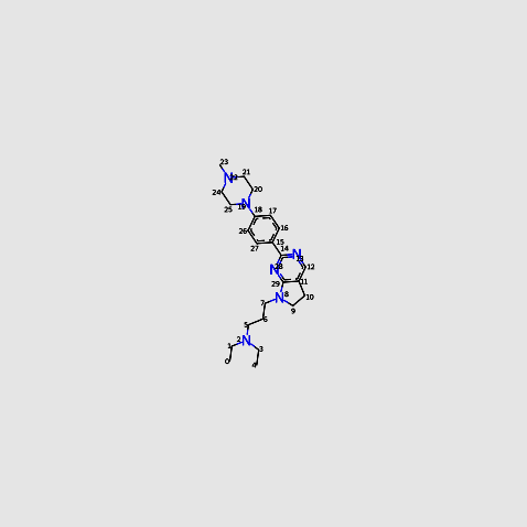 CCN(CC)CCCN1CCc2cnc(-c3ccc(N4CCN(C)CC4)cc3)nc21